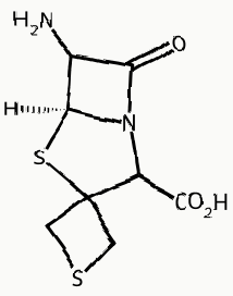 NC1C(=O)N2C(C(=O)O)C3(CSC3)S[C@@H]12